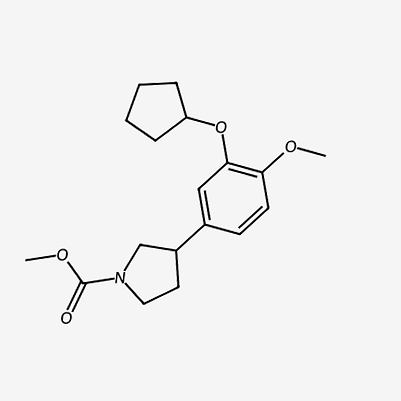 COC(=O)N1CCC(c2ccc(OC)c(OC3CCCC3)c2)C1